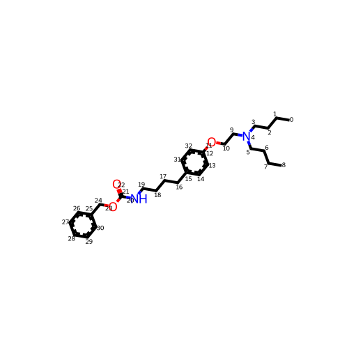 CCCCN(CCCC)CCOc1ccc(CCCCNC(=O)OCc2ccccc2)cc1